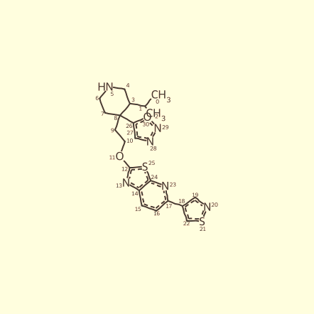 CC(C)C1CNCCC1(CCOc1nc2ccc(-c3cnsc3)nc2s1)c1cnno1